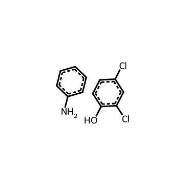 Nc1ccccc1.Oc1ccc(Cl)cc1Cl